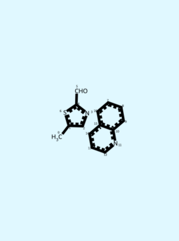 Cc1cnc(C=O)s1.c1ccc2ncccc2c1